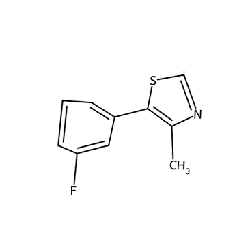 Cc1n[c]sc1-c1cccc(F)c1